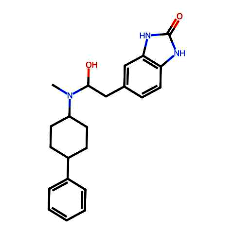 CN(C(O)Cc1ccc2[nH]c(=O)[nH]c2c1)C1CCC(c2ccccc2)CC1